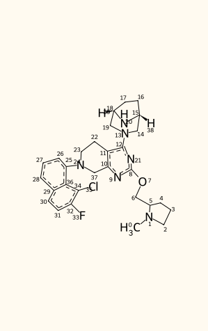 CN1CCCC1COc1nc2c(c(N3C[C@H]4CC[C@@H](C3)N4)n1)CCN(c1cccc3ccc(F)c(Cl)c13)C2